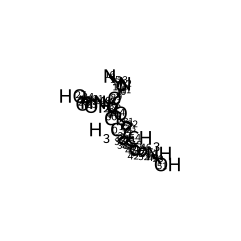 Cc1c(COc2cc(OCc3cncc(C#N)c3)c(CNC[C@@H](O)CC(=O)O)cc2Cl)cccc1-c1cccc(-c2ccc3c(c2)CC(NCCO)C3)c1C